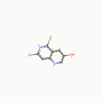 Oc1cnc2cc(Cl)nc(Cl)c2c1